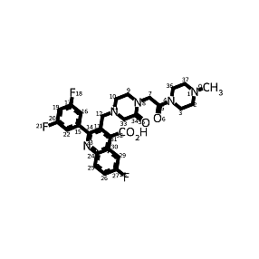 CN1CCN(C(=O)CN2CCN(Cc3c(-c4cc(F)cc(F)c4)nc4ccc(F)cc4c3C(=O)O)CC2=O)CC1